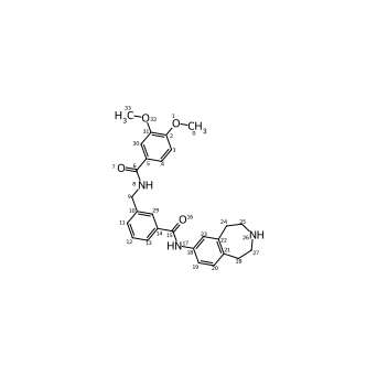 COc1ccc(C(=O)NCc2cccc(C(=O)Nc3ccc4c(c3)CCNCC4)c2)cc1OC